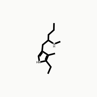 CCCC(Cc1c[nH]c(CC)c1C)NC